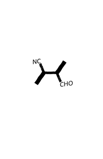 C=C(C#N)C(=C)C=O